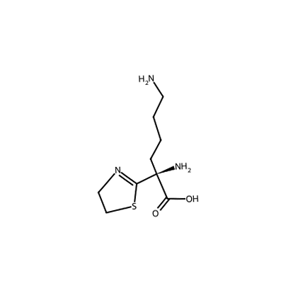 NCCCC[C@](N)(C(=O)O)C1=NCCS1